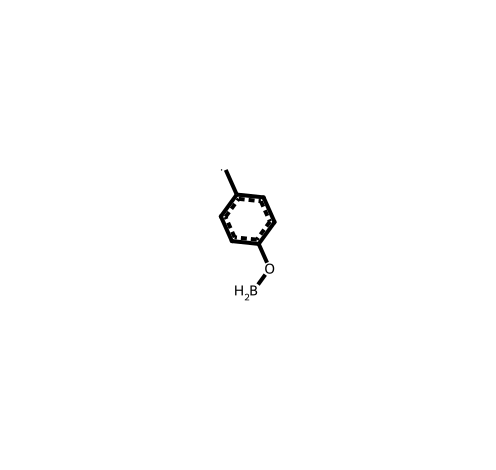 BOc1ccc([CH2])cc1